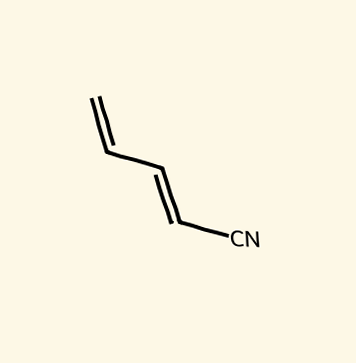 C=CC=[C]C#N